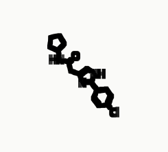 O=C(Cc1c[nH]c(-c2ccc(Cl)cc2)n1)NC1CCCC1